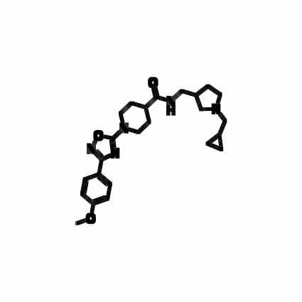 COc1ccc(-c2noc(N3CCC(C(=O)NCC4CCN(CC5CC5)C4)CC3)n2)cc1